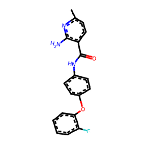 Cc1ccc(C(=O)Nc2ccc(Oc3ccccc3F)cc2)c(N)n1